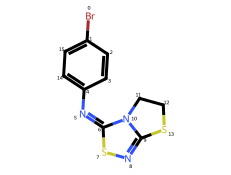 Brc1ccc(N=c2snc3n2CCS3)cc1